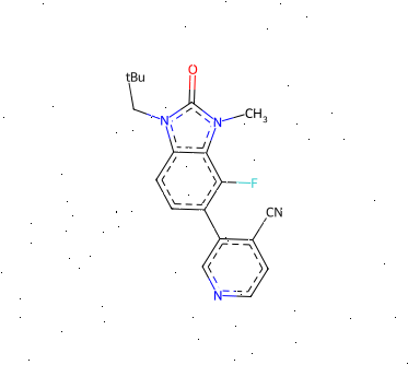 Cn1c(=O)n(CC(C)(C)C)c2ccc(-c3cnccc3C#N)c(F)c21